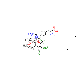 CC1(C)C=C(c2cc(Cl)ccc2C(Oc2cc(C3=CCC(CC(N)C(=O)O)CC3)nc(N)n2)C(F)(F)F)CC(C)(C)O1.Cl